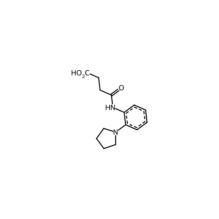 O=C(O)CCC(=O)Nc1ccccc1N1CCCC1